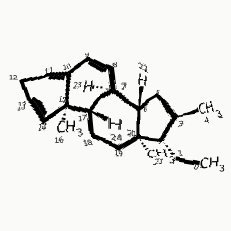 CC[C@H]1[C@H](C)C[C@H]2[C@@H]3C=CC4=CCC=C[C@]4(C)[C@H]3CC[C@@]21C